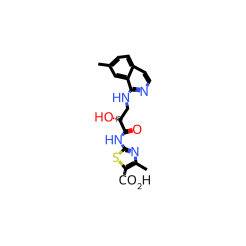 Cc1ccc2ccnc(NC[C@@H](O)C(=O)Nc3nc(C)c(C(=O)O)s3)c2c1